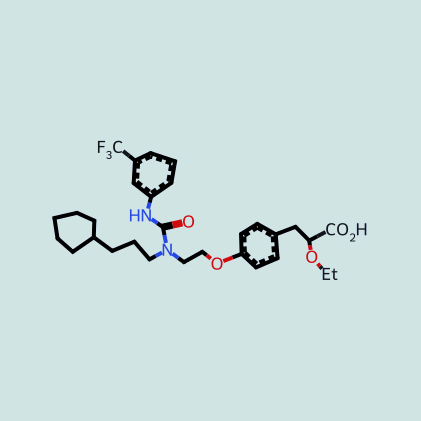 CCOC(Cc1ccc(OCCN(CCCC2CCCCC2)C(=O)Nc2cccc(C(F)(F)F)c2)cc1)C(=O)O